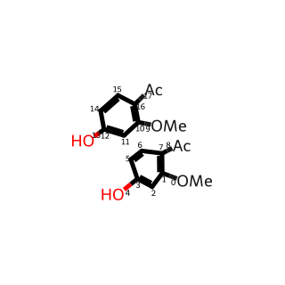 COc1cc(O)ccc1C(C)=O.COc1cc(O)ccc1C(C)=O